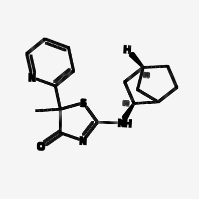 CC1(c2ccccn2)SC(N[C@H]2C[C@@H]3CCC2C3)=NC1=O